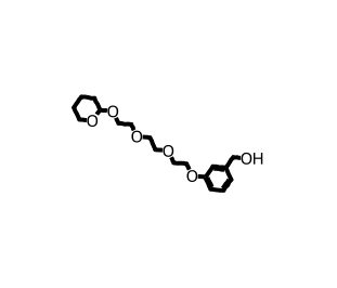 OCc1cccc(OCCOCCOCCOC2CCCCO2)c1